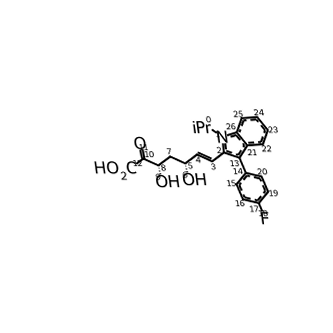 CC(C)n1c(/C=C/[C@H](O)C[C@H](O)C(=O)C(=O)O)c(-c2ccc(F)cc2)c2ccccc21